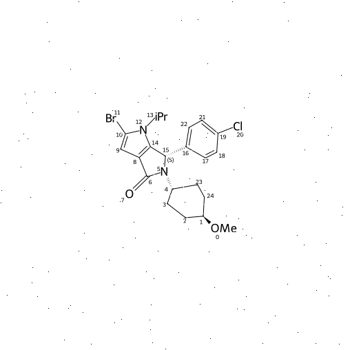 CO[C@H]1CC[C@H](N2C(=O)c3cc(Br)n(C(C)C)c3[C@@H]2c2ccc(Cl)cc2)CC1